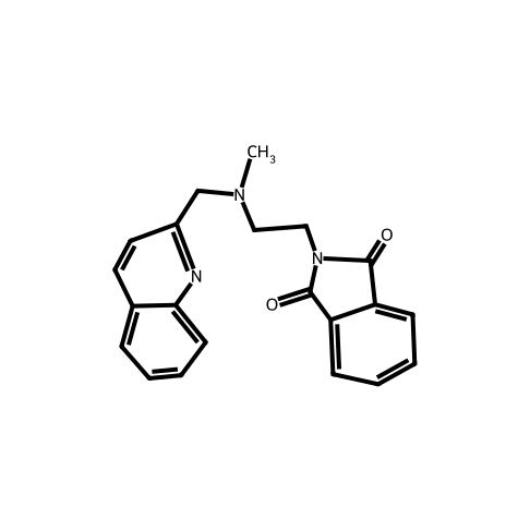 CN(CCN1C(=O)c2ccccc2C1=O)Cc1ccc2ccccc2n1